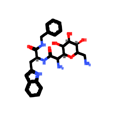 NCC1O[C@@H](C(N)C(=O)N[C@@H](Cc2cc3ccccc3[nH]2)C(=O)NCc2ccccc2)C(O)[C@@H](O)[C@@H]1O